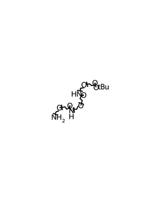 CC(C)(N)CCOC(C)(C)CCC(=O)NC(C)(C)CCOC(C)(C)CCC(=O)NC(C)(C)CCOC(C)(C)CCC(=O)OC(C)(C)C